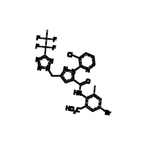 Cc1cc(Br)cc(C(=O)O)c1NC(=O)c1cc(Cn2nnc(C(F)(F)C(C)(F)F)n2)nn1-c1ncccc1Cl